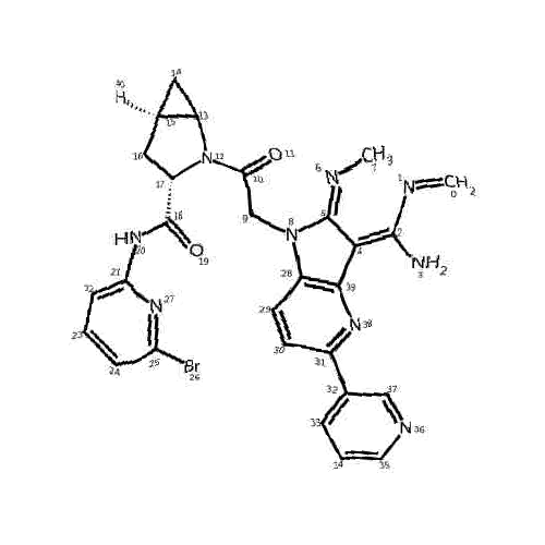 C=N/C(N)=C1\C(=N/C)N(CC(=O)N2C3C[C@@H]3C[C@H]2C(=O)Nc2cccc(Br)n2)c2ccc(-c3cccnc3)nc21